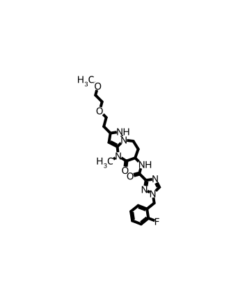 COCCOCCC1C=C2N(CCC(NC(=O)c3ncn(Cc4ccccc4F)n3)C(=O)N2C)N1